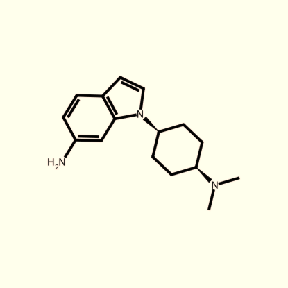 CN(C)[C@H]1CC[C@@H](n2ccc3ccc(N)cc32)CC1